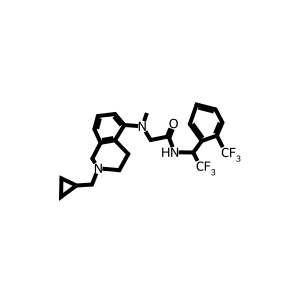 CN(CC(=O)NC(c1ccccc1C(F)(F)F)C(F)(F)F)c1cccc2c1CCN(CC1CC1)C2